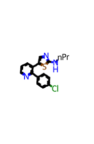 CCCNc1ncc(-c2cccnc2-c2ccc(Cl)cc2)s1